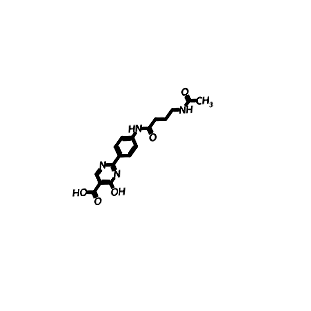 CC(=O)NCCCC(=O)Nc1ccc(-c2ncc(C(=O)O)c(O)n2)cc1